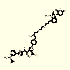 C=C(C)c1nn(C2CCC(CN(C)CCOCCOCCCc3cccc4c3n(C)c(=O)n4C3CCC(=O)NC3=O)CC2)cc1NC(=O)c1coc(-c2ccnc(N(C)C3CC3)c2)n1